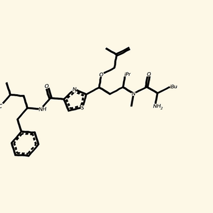 C=C(C)COC(CC(C(C)C)N(C)C(=O)C(N)C(C)CC)c1nc(C(=O)NC(Cc2ccccc2)CC(C)C(=O)O)cs1